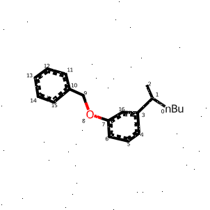 CCCCC(C)c1cccc(OCc2ccccc2)c1